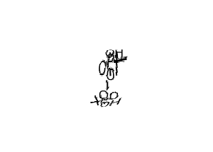 CC(C)(C)P(=O)(O)OCCOP(=O)(O)C(C)(C)C